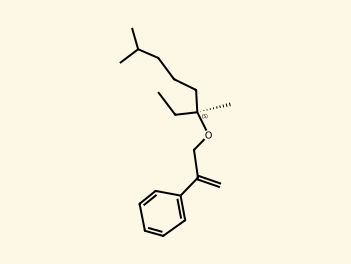 C=C(CO[C@@](C)(CC)CCCC(C)C)c1ccccc1